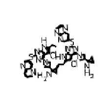 CCc1[nH]c2nc(Sc3cnc4cccnc4c3)nc(N3CC(C4(N)CC4CCc4[nH]c5nc(Sc6cnc7nccnc7c6)nc(N6CC(C7(N)CC7)C6)c5c4Cl)C3)c2c1Cl